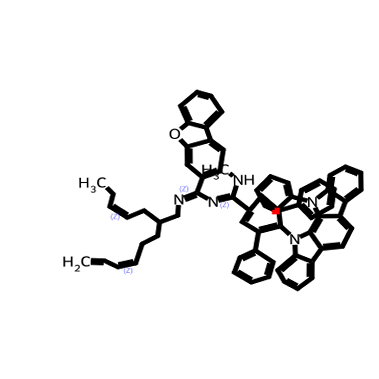 C=C/C=C\CCC(C/C=C\CC)C/N=C(\N=C(/NC)c1cc(-c2ccccc2)c(-n2c3ccccc3c3ccc4c5ccccc5n(-c5ccccc5)c4c32)c(-c2ccccc2)c1)c1ccc2c(c1)oc1ccccc12